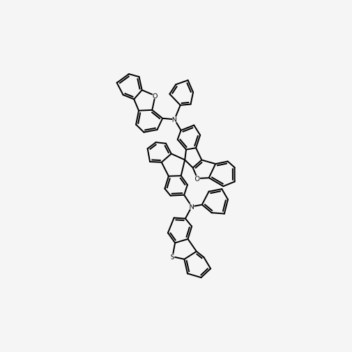 c1ccc(N(c2ccc3c(c2)C2(c4ccccc4-3)c3cc(N(c4ccccc4)c4cccc5c4oc4ccccc45)ccc3-c3c2oc2ccccc32)c2ccc3sc4ccccc4c3c2)cc1